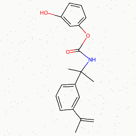 C=C(C)c1cccc(C(C)(C)NC(=O)Oc2cccc(O)c2)c1